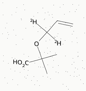 [2H]C([2H])(C=C)OC(C)(C)C(=O)O